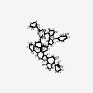 c1ccc(-c2nc(-c3ccccc3)nc(-c3cccc4c3c3cc(-c5ccc6c(c5)-c5cc7c(cc5CCC6c5ccccc5)-c5ccccc5C(c5ccccc5)CC7)ccc3n4-c3ccccc3)n2)cc1